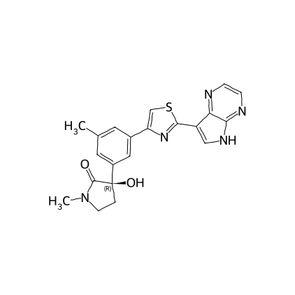 Cc1cc(-c2csc(-c3c[nH]c4nccnc34)n2)cc([C@]2(O)CCN(C)C2=O)c1